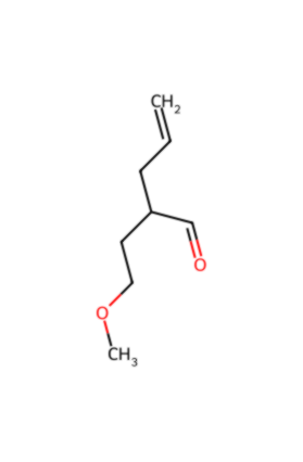 C=CCC(C=O)CCOC